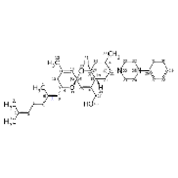 CC(C)=CCC/C(C)=C/[C@@H]1CC(C)=C[C@]2(C=C(CO)[C@H]3C[C@@H](N4CCN(c5ccccc5)CC4)C(C)=C[C@H]3O2)O1